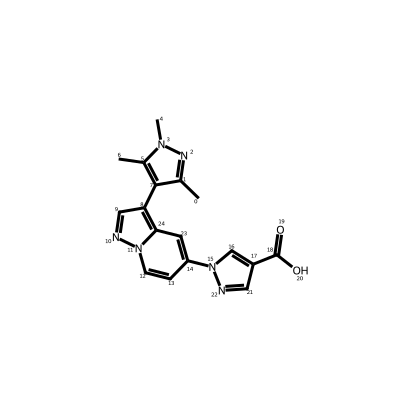 Cc1nn(C)c(C)c1-c1cnn2ccc(-n3cc(C(=O)O)cn3)cc12